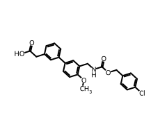 COc1ccc(-c2cccc(CC(=O)O)c2)cc1CNC(=O)OCc1ccc(Cl)cc1